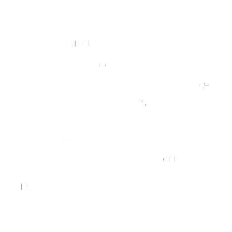 CCCOc1cccc2c1CC(N(CCC)CCC)CO2.Cl